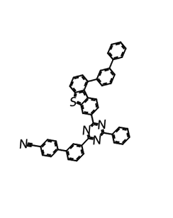 N#Cc1ccc(-c2cccc(-c3nc(-c4ccccc4)nc(-c4ccc5c(c4)sc4cccc(-c6cccc(-c7ccccc7)c6)c45)n3)c2)cc1